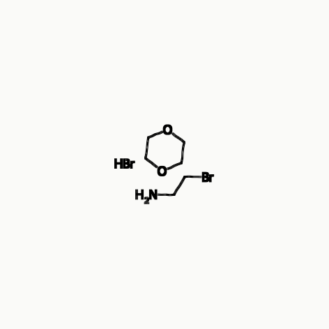 Br.C1COCCO1.NCCBr